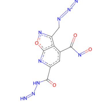 [N-]=[N+]=NCc1noc2nc(C(=O)NN=N)cc(C(=O)N=O)c12